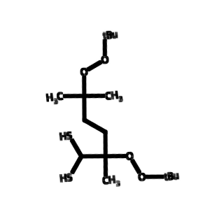 CC(C)(C)OOC(C)(C)CCC(C)(OOC(C)(C)C)C(S)S